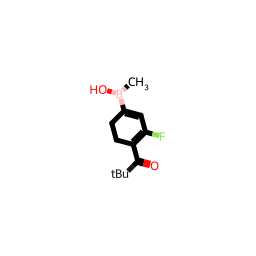 CB(O)C1=CC(F)=C(C(=O)C(C)(C)C)CC1